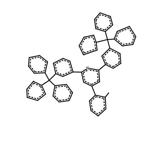 Cc1ccccc1-c1cc(-c2cccc(C(c3ccccc3)(c3ccccc3)c3ccccc3)c2)nc(-c2cccc(C(c3ccccc3)(c3ccccc3)c3ccccc3)c2)c1